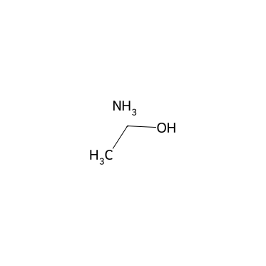 CCO.N